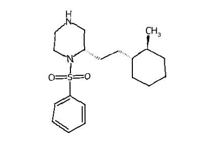 C[C@H]1CCCC[C@@H]1CC[C@H]1CNCCN1S(=O)(=O)c1ccccc1